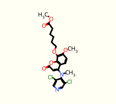 COC(=O)CCCCCOc1c(OC)ccc2c(N(C)c3c(Cl)cncc3Cl)cc(=O)oc12